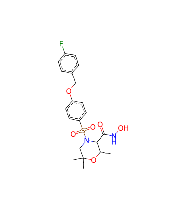 CC1OC(C)(C)CN(S(=O)(=O)c2ccc(OCc3ccc(F)cc3)cc2)C1C(=O)NO